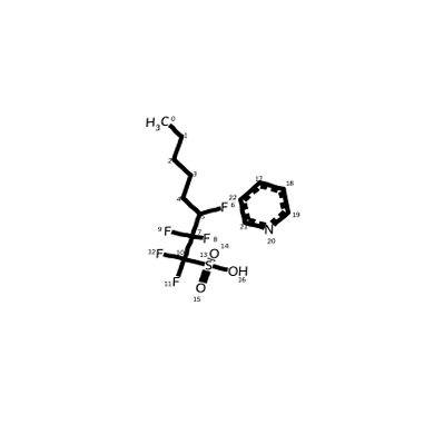 CCCCCC(F)C(F)(F)C(F)(F)S(=O)(=O)O.c1ccncc1